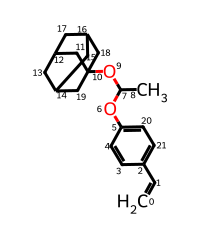 C=Cc1ccc(OC(C)OC23CC4CC(CC(C4)C2)C3)cc1